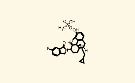 CS(=O)(=O)O.O=C1c2cc(F)ccc2CN1[C@@H]1CCC2(O)[C@H]3Cc4ccc(O)c5c4[C@@]2(CCN3CC2CC2)[C@H]1O5